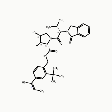 C/C=C(/S)c1ccc(CNC(=O)[C@@H]2[C@@H](F)[C@@H](O)CN2C(=O)[C@H](C(C)C)N2Cc3ccccc3C2=O)c(C(C)(C)C)c1